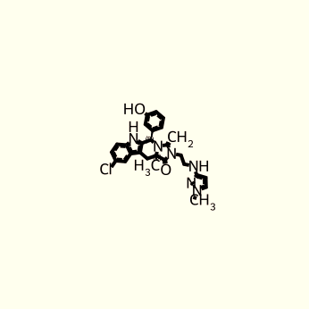 C=C1N(CCNc2ccn(C)n2)C(=O)[C@]2(C)Cc3c([nH]c4ccc(Cl)cc34)[C@@H](c3cccc(O)c3)N12